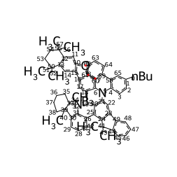 CCCCc1ccc(N2c3cc4oc5cc6c(cc5c4cc3B3c4c2cc2c(c4-c4cccc5c4N3C3(C)CCCCC53C)C(C)(C)c3ccccc3-2)C(C)(C)CCC6(C)C)c(-c2ccccc2)c1